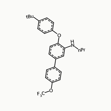 CCCNc1cc(-c2ccc(OC(F)(F)F)cc2)ccc1Oc1ccc(C(C)(C)C)cc1